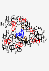 CCC(=O)OC(CC(C)C(=S)N1CN(C(=S)C(C)CC(OC(=O)CC)c2cc(C(C)(C)C)c(O)c(C(C)(C)C)c2)CN(C(=S)C(C)CC(OC(=O)CC)c2cc(C(C)(C)C)c(O)c(C(C)(C)C)c2)C1)c1cc(C(C)(C)C)c(O)c(C(C)(C)C)c1